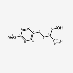 COc1ccc(CCC(CO)C(=O)O)cc1